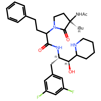 CC[C@@H](C)C1(NC(C)=O)CCN(C(CCc2ccccc2)C(=O)N[C@@H](Cc2cc(F)cc(F)c2)[C@H](O)C2CCCCN2)C1=O